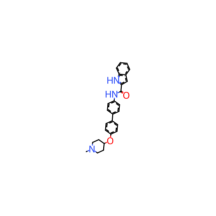 CN1CCC(Oc2ccc(-c3ccc(NC(=O)c4cc5ccccc5[nH]4)cc3)cc2)CC1